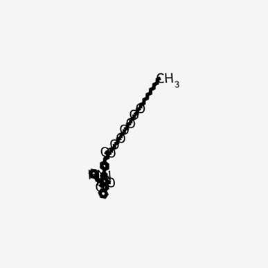 CCCCCCCCCCCCOCCOCCOCCOCCOCCOCCOC(=O)/C=C/c1ccc(-c2nc3c(=O)n(CC4CCCCC4)c(=O)n(CC4CCCCC4)c3[nH]2)cc1